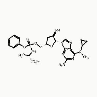 CCOC(=O)[C@H](C)N[P@@](=O)(OC[C@@H]1CC(=N)[C@H](n2cnc3c(N(C)C4CC4)nc(N)nc32)O1)Oc1ccccc1